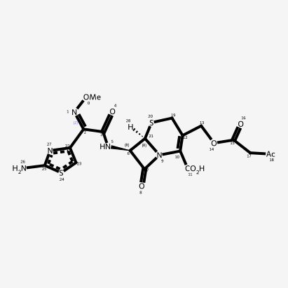 CO/N=C(\C(=O)N[C@@H]1C(=O)N2C(C(=O)O)=C(COC(=O)CC(C)=O)CS[C@H]12)c1csc(N)n1